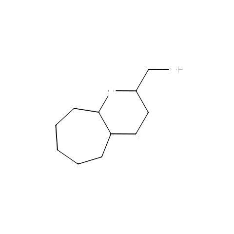 OCC1CCC2CCCCCC2O1